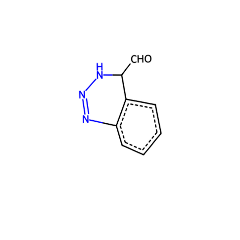 O=CC1NN=Nc2ccccc21